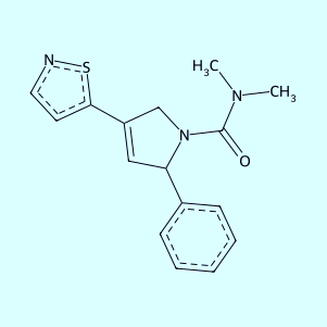 CN(C)C(=O)N1CC(c2ccns2)=CC1c1ccccc1